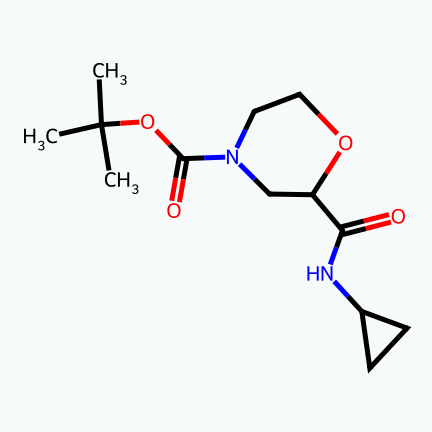 CC(C)(C)OC(=O)N1CCOC(C(=O)NC2CC2)C1